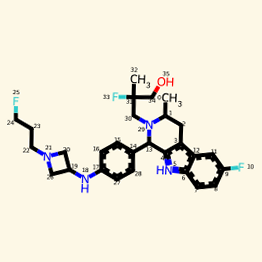 CC1Cc2c([nH]c3ccc(F)cc23)C(c2ccc(NC3CN(CCCF)C3)cc2)N1CC(C)(F)CO